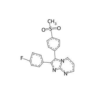 CS(=O)(=O)c1ccc(-c2c(-c3ccc(F)cc3)nc3ncccn23)cc1